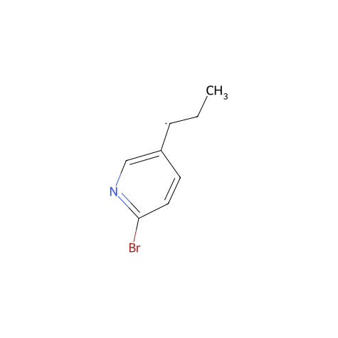 CC[CH]c1ccc(Br)nc1